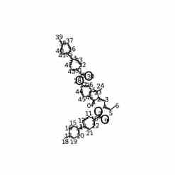 C=C1/C(=C\C(=C/C)OC(=O)c2ccc(-c3ccc(C)cc3)cc2)C(C)c2cc(OC(=O)c3ccc(-c4ccc(C)cc4)cc3)ccc21